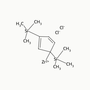 C[Si](C)(C)C1=C[C]([Zr+2])([Si](C)(C)C)C=C1.[Cl-].[Cl-]